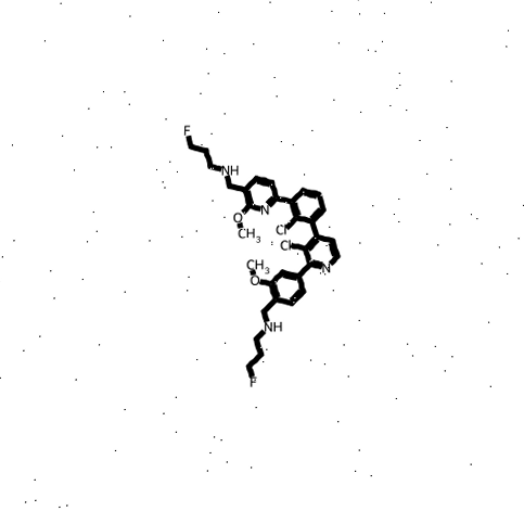 COc1cc(-c2nccc(-c3cccc(-c4ccc(CNCCCF)c(OC)n4)c3Cl)c2Cl)ccc1CNCCCF